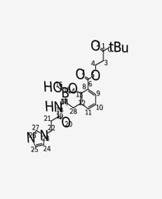 CC(C)(C)C(=O)CCOC(=O)c1cccc2c1OB(O)[C@@H](NC(=O)CCn1ccnc1)C2